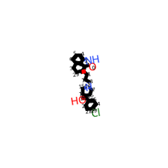 O=C1Nc2cccc3c2C1(CCCCN1CCC(O)(c2ccc(Cl)cc2)CC1)CCC3